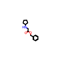 O=C(CNC1CCCC1)OCc1ccccc1